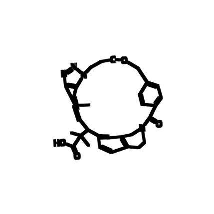 Cc1c2ccc3c1nnn3CCCOCc1ccc(cc1)C(=O)N1CCc3ccc(cc3C1)C2C(C)(C)C(=O)O